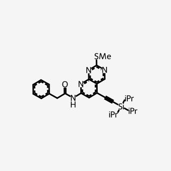 CSc1ncc2c(C#C[Si](C(C)C)(C(C)C)C(C)C)cc(NC(=O)Cc3ccccc3)nc2n1